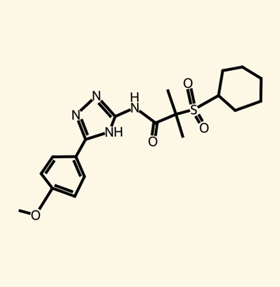 COc1ccc(-c2nnc(NC(=O)C(C)(C)S(=O)(=O)C3CCCCC3)[nH]2)cc1